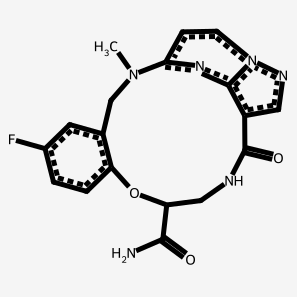 CN1Cc2cc(F)ccc2OC(C(N)=O)CNC(=O)c2cnn3ccc1nc23